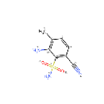 Cc1ccc(C#N)c(S(N)(=O)=O)c1N